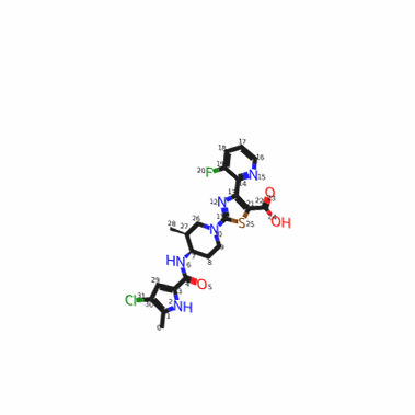 Cc1[nH]c(C(=O)N[C@@H]2CCN(c3nc(-c4ncccc4F)c(C(=O)O)s3)C[C@@H]2C)cc1Cl